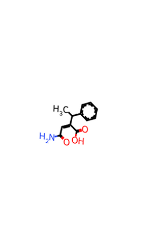 CC(C(=CC(N)=O)C(=O)O)c1ccccc1